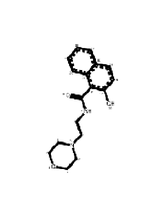 O=C(NCCN1CCOCC1)c1c(O)ccc2ccccc12